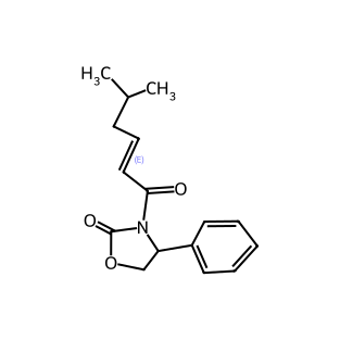 CC(C)C/C=C/C(=O)N1C(=O)OCC1c1ccccc1